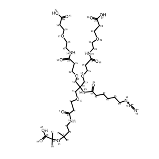 CC(C)(CCNC(=O)CCOCC(COCCC(=O)NCCOCCC(=O)O)(COCCC(=O)NCCOCCC(=O)O)NC(=O)CCCCCN=[N+]=[N-])OC(C)(C)C(=O)O